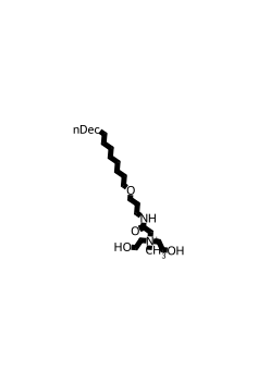 CCCCCCCCCCCCCCCCCCOCCCNC(=O)C[N+](C)(CCO)CCO